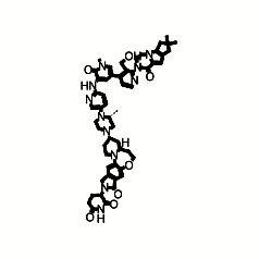 C[C@@H]1CN([C@H]2CCN3c4cc5c(cc4OCC[C@@H]3C2)C(=O)N(C2CCC(=O)NC2=O)C5)CCN1c1ccc(Nc2cc(-c3ccnc(N4CCn5c(cc6c5CC(C)(C)C6)C4=O)c3CO)cn(C)c2=O)nc1